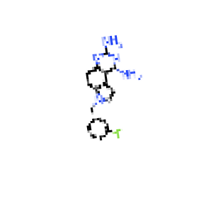 Nc1nc(N)c2c(ccc3c2ccn3Cc2cccc(F)c2)n1